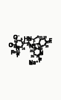 C[C@@H]1NC(c2cc([O-])c(=O)n(C(F)F)c2)=N[C@@]1(c1ccc(F)cc1)c1ccc(F)nc1.[Na+]